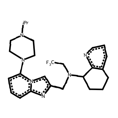 CC(C)N1CCN(c2cccc3nc(CN(CC(F)(F)F)C4CCCc5cccnc54)cn23)CC1